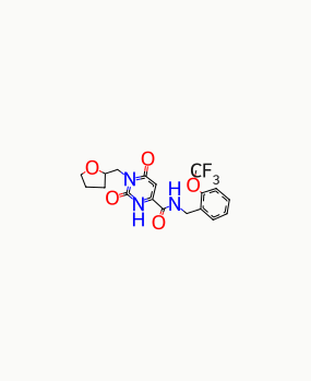 O=C(NCc1ccccc1OC(F)(F)F)c1cc(=O)n(CC2CCCO2)c(=O)[nH]1